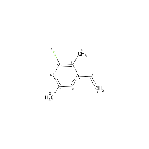 C=Cc1cc(C)cc(F)c1C